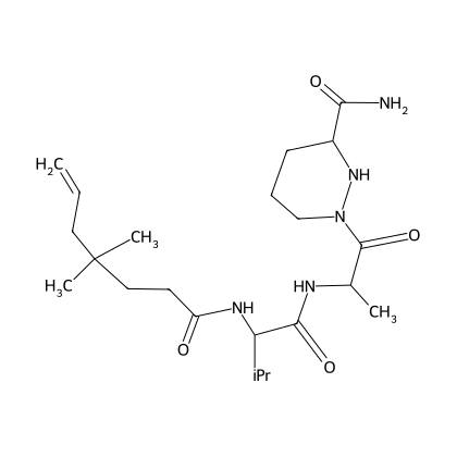 C=CCC(C)(C)CCC(=O)NC(C(=O)NC(C)C(=O)N1CCCC(C(N)=O)N1)C(C)C